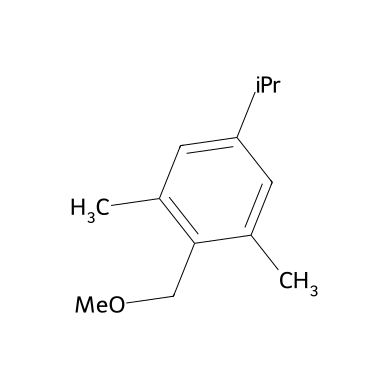 COCc1c(C)cc(C(C)C)cc1C